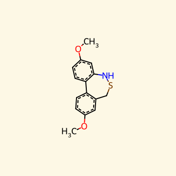 COc1ccc2c(c1)CSNc1cc(OC)ccc1-2